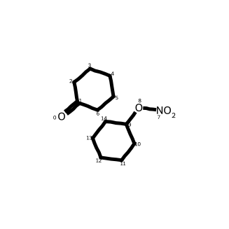 O=C1CCCCC1.O=[N+]([O-])OC1CCCCC1